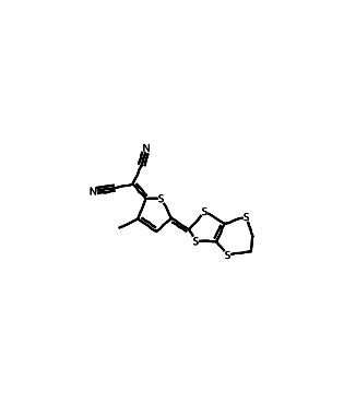 Cc1cc(=C2SC3=C(SCCS3)S2)sc1=C(C#N)C#N